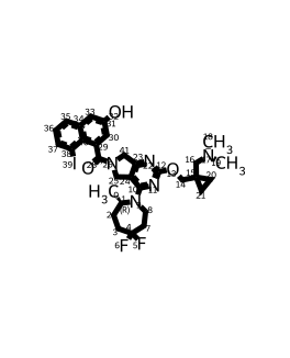 C[C@@H]1CCC(F)(F)CCN1c1nc(OCC2(CN(C)C)CC2)nc2c1CN(C(=O)c1cc(O)cc3cccc(I)c13)C2